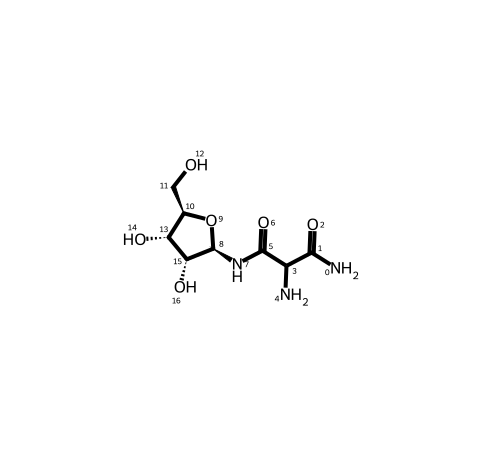 NC(=O)C(N)C(=O)N[C@@H]1O[C@H](CO)[C@@H](O)[C@H]1O